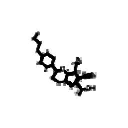 CCCCC1CCC(C2CCc3cc(C(C)O)c(C#N)c(C#N)c3O2)CC1